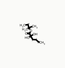 CCCCC(O)(O)C(=O)OC(C)(C)CC